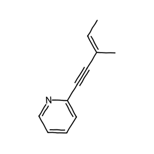 CC=C(C)C#Cc1ccccn1